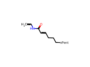 C=CNC(=O)C=CCCCCCCCC